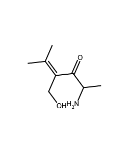 CC(C)=C(CO)C(=O)C(C)N